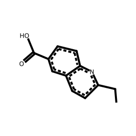 CCc1ccc2cc(C(=O)O)ccc2n1